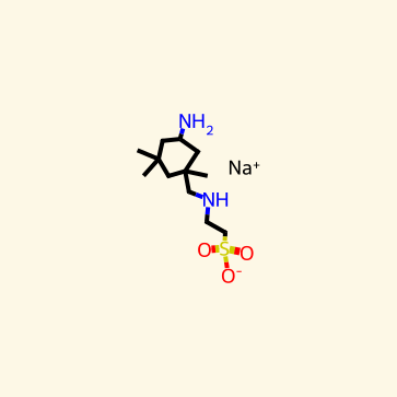 CC1(C)CC(N)CC(C)(CNCCS(=O)(=O)[O-])C1.[Na+]